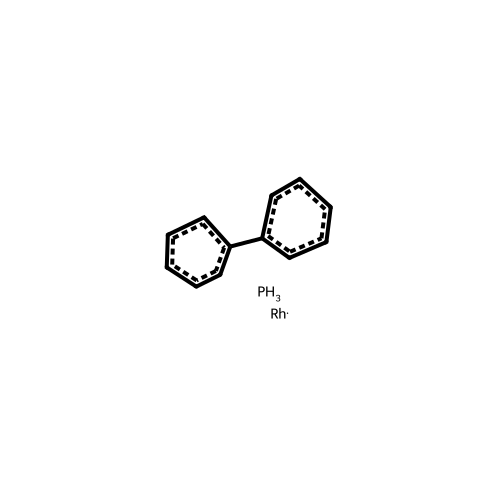 P.[Rh].c1ccc(-c2ccccc2)cc1